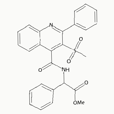 COC(=O)C(NC(=O)c1c(S(C)(=O)=O)c(-c2ccccc2)nc2ccccc12)c1ccccc1